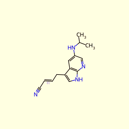 CC(C)Nc1cnc2[nH]cc(C/C=C/C#N)c2c1